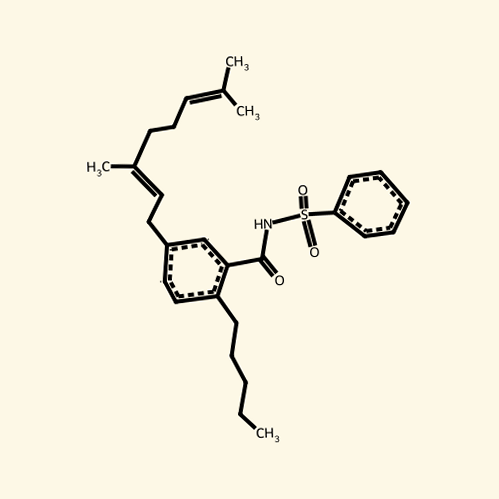 CCCCCc1c[c]c(C/C=C(\C)CCC=C(C)C)[c]c1C(=O)NS(=O)(=O)c1ccccc1